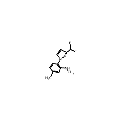 CNc1cc(C)ccc1-n1ccc(C(F)F)n1